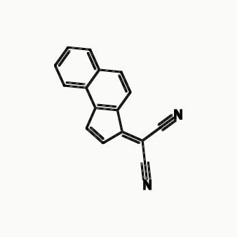 N#CC(C#N)=C1C=Cc2c1ccc1ccccc21